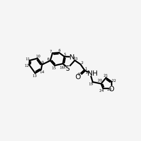 O=C(Cc1nc2ccc(-c3ccccc3)cc2s1)NCc1ccoc1